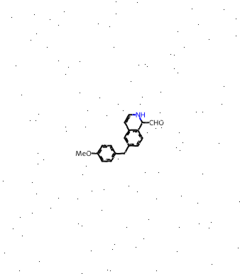 COc1ccc(Cc2ccc3c(c2)C=CNC3C=O)cc1